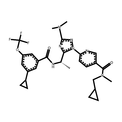 C[C@H](NC(=O)c1cc(OC(F)(F)F)cc(C2CC2)c1)c1nc(N(C)C)nn1-c1ccc(C(=O)N(C)CC2CC2)cn1